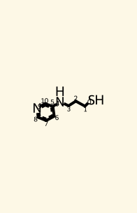 SCCCNc1cccnc1